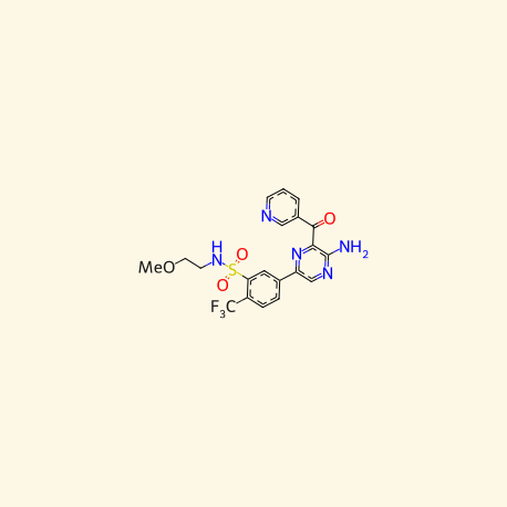 COCCNS(=O)(=O)c1cc(-c2cnc(N)c(C(=O)c3cccnc3)n2)ccc1C(F)(F)F